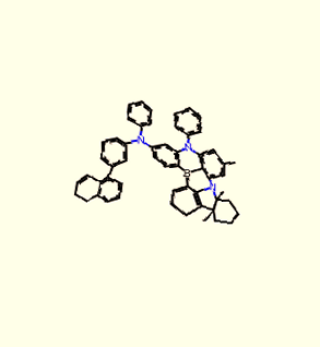 Cc1cc2c3c(c1)N1C4=C(CCC=C4B3c3ccc(N(c4ccccc4)c4cccc(-c5cccc6c5C=CCC6)c4)cc3N2c2ccccc2)C2(C)CCCCC12C